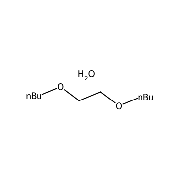 CCCCOCCOCCCC.O